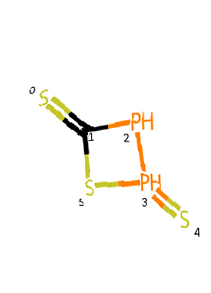 S=C1P[PH](=S)S1